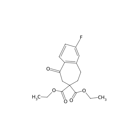 CCOC(=O)C1(C(=O)OCC)CCc2cc(F)ccc2C(=O)C1